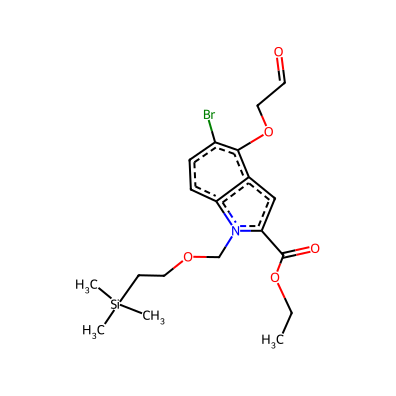 CCOC(=O)c1cc2c(OCC=O)c(Br)ccc2n1COCC[Si](C)(C)C